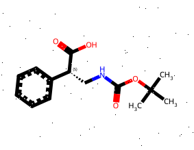 CC(C)(C)OC(=O)NC[C@@H](C(=O)O)c1ccccc1